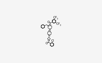 O=C(c1ccccc1Cl)N1CC(N2CCN([C@H]3CCN(C(=O)c4cc(C(F)(F)F)cc(C(F)(F)F)c4)[C@H](Cc4ccccc4)C3)CC2)C1